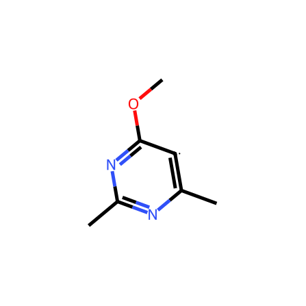 COc1[c]c(C)nc(C)n1